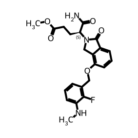 CNc1cccc(COc2cccc3c2CN([C@@H](CCC(=O)OC)C(N)=O)C3=O)c1F